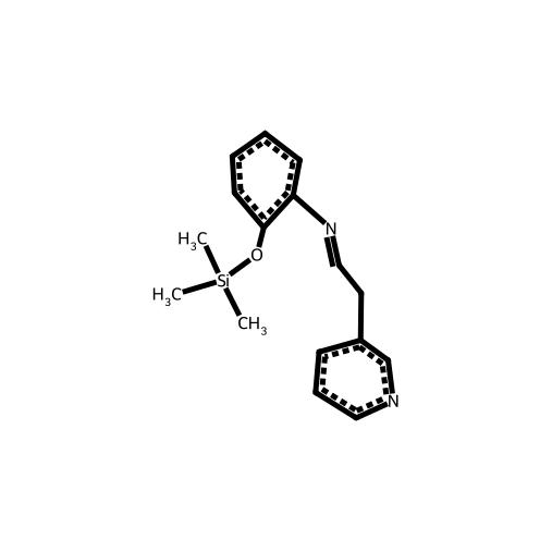 C[Si](C)(C)Oc1ccccc1N=CCc1cccnc1